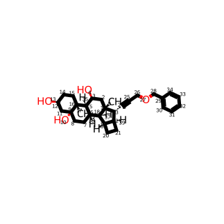 C[C@]12C[C@H](O)[C@H]3[C@@H](CC[C@]4(O)C[C@@H](O)CC[C@]34C)[C@@H]1[C@@H]1CC[C@@H]1[C@H]2C#CCOCc1ccccc1